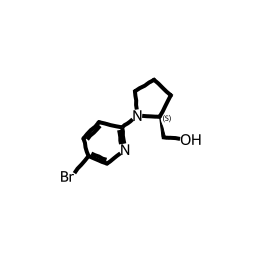 OC[C@@H]1CCCN1c1ccc(Br)cn1